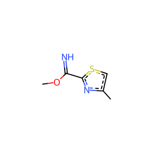 COC(=N)c1nc(C)cs1